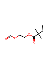 CCC(C)(C)C(=O)OCCOC=O